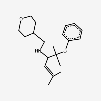 CC(C)=CC(NCC1CCOCC1)C(C)(C)Oc1ccccc1